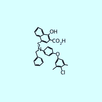 Cc1cc(Oc2ccc(N(Cc3ccccc3)Sc3cc(C(=O)O)c(O)c4ccccc34)cc2)cc(C)c1Cl